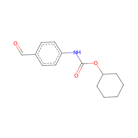 O=Cc1ccc(NC(=O)OC2CCCCC2)cc1